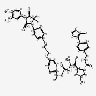 Cc1ncsc1-c1ccc(CNC(=O)[C@@H]2C[C@@H](O)CN2C(=O)[C@@H](NC(=O)CN(C)c2ccc(OCCOc3ccc(N4C(=S)N(c5ccc(C#N)c(C(F)(F)F)c5)C(=O)C4(C)C)cc3)cc2)C(C)(C)C)cc1